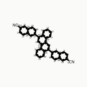 N#Cc1ccc2cc(-c3cc4c5ccccc5c(-c5ccc6cc(C#N)ccc6c5)cc4c4ccccc34)ccc2c1